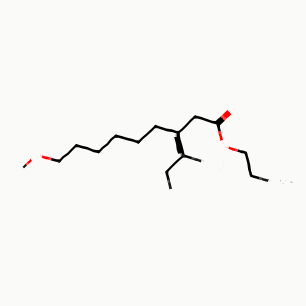 CCOCCCCCCC(CC(=O)OCCOC)=C(CC(=O)O)C(=O)O